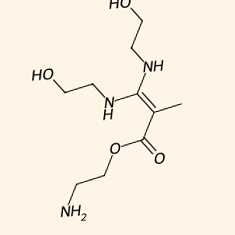 CC(C(=O)OCCN)=C(NCCO)NCCO